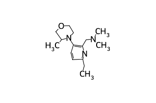 CCc1ccc(N2CCOCC2C)c(CN(C)C)n1